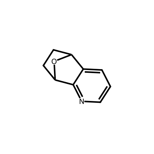 c1cnc2c(c1)C1CCC2O1